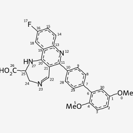 COc1ccc(OC)c(-c2ccc(-c3nc4ccc(F)cc4c4c3C=NCC(C(=O)O)N4)cc2)c1